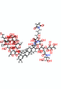 CCC(OC(C)=O)C(OC1CCC(O)C(O)C1O)C(O)C(O)OC1C(C)OC(OC(=O)[C@]23CCC(C)(C)CC2C2=CCC4[C@@]5(C)CC[C@H](OC(O)C(OC6OC(CO)C(O)C(O)C6O)C(OC(O)C(O)C(O)C(C)O)C(O)CC(=O)NC(C)(CO)CO)[C@@](C)(/C=N/NC(=O)CCCCCN6C(=O)C=CC6=O)C5CC[C@@]4(C)[C@]2(C)C[C@H]3O)C(OC2OC(C)C(OC3OCC(O)C(OC(O)/C(O)=C(/O)C(O)CCO)C3O)C(O)C2O)C1O